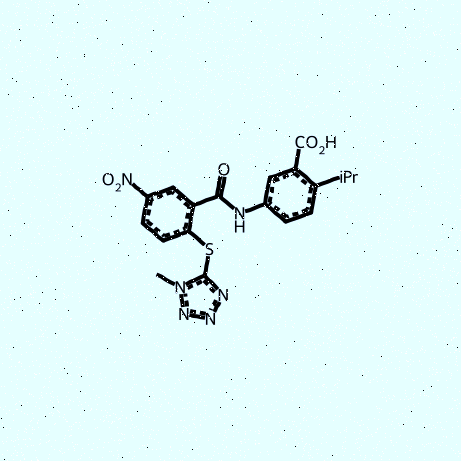 CC(C)c1ccc(NC(=O)c2cc([N+](=O)[O-])ccc2Sc2nnnn2C)cc1C(=O)O